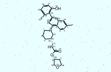 Cc1ccc2c(N3CCC[C@@H](CNC(=O)O[C@@H]4CCOC4)C3)nc(-c3c(O)cccc3F)nc2c1